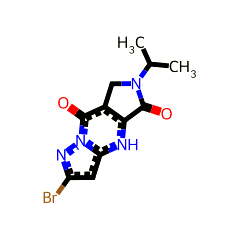 CC(C)N1Cc2c([nH]c3cc(Br)nn3c2=O)C1=O